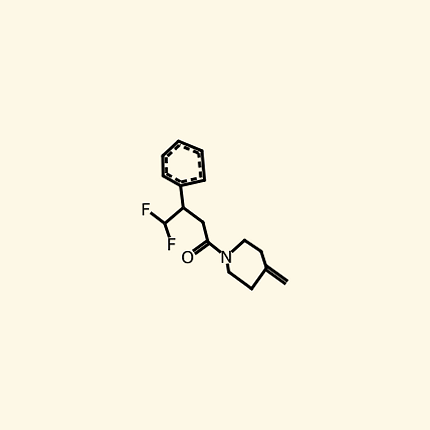 C=C1CCN(C(=O)CC(c2ccccc2)C(F)F)CC1